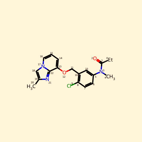 CCC(=O)N(C)c1ccc(Cl)c(COc2cccn3cc(C)nc23)c1